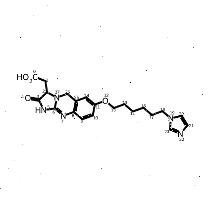 O=C(O)CC1C(=O)NC2=Nc3ccc(OCCCCCCn4ccnc4)cc3CN21